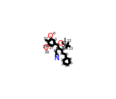 COc1cc(C(O[Si](C)(C)C(C)(C)C)[C@H](CC#N)CCCc2ccccc2)cc(OC)c1C